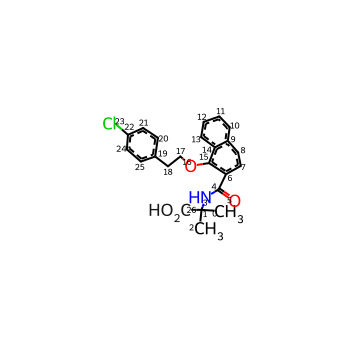 CC(C)(NC(=O)c1ccc2ccccc2c1OCCc1ccc(Cl)cc1)C(=O)O